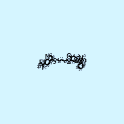 CN(Cc1cc(=O)c(OCCCCCSc2ccnc3cc(C(F)(F)F)ccc23)co1)S(=O)(=O)c1ccccc1